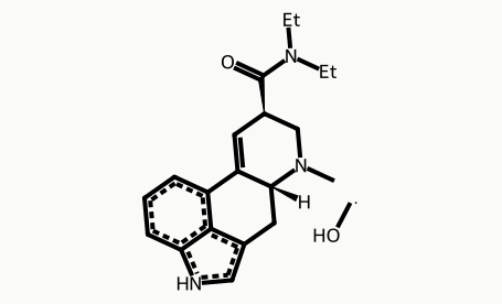 CCN(CC)C(=O)[C@@H]1C=C2c3cccc4[nH]cc(c34)C[C@H]2N(C)C1.[CH2]O